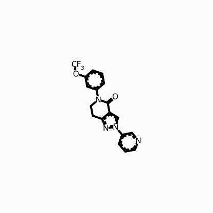 O=C1c2cn(-c3cccnc3)nc2CCN1c1cccc(OC(F)(F)F)c1